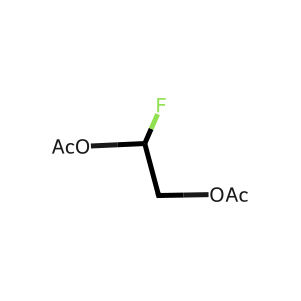 CC(=O)OCC(F)OC(C)=O